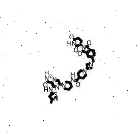 Cc1cc(Nc2nc(N3CCCC(NC(=O)C4CCN(C5CN(Cc6ccc7c(c6)C(=O)N(C6CCC(=O)NC6=O)C7=O)C5)CC4)C3)cnc2C(N)=O)sn1